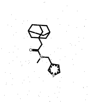 CN(Cc1ccsc1)C(=O)CC12CC3CC(CC(C3)C1)C2